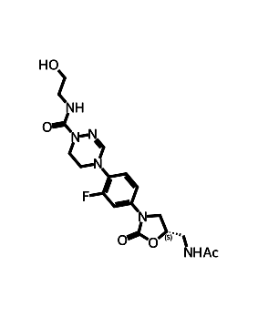 CC(=O)NC[C@H]1CN(c2ccc(N3C=NN(C(=O)NCCO)CC3)c(F)c2)C(=O)O1